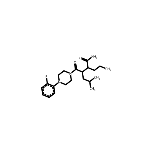 CCCC(C(N)=O)C(CC(C)C)C(=O)N1CCN(c2ccccc2F)CC1